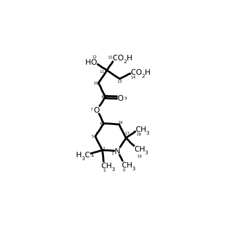 CN1C(C)(C)CC(OC(=O)CC(O)(CC(=O)O)C(=O)O)CC1(C)C